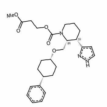 COC(=O)CCOC(=O)N1CCC[C@H](c2cc[nH]n2)[C@@H]1CO[C@H]1CC[C@@H](c2ccccc2)CC1